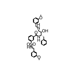 COc1cccc(CNC[C@@H](O)[C@H](Cc2ccccc2)NC(=O)c2cccc(S(=O)(=O)NCc3cccc(OC)c3)c2)c1